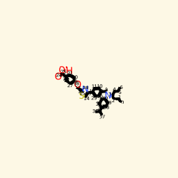 CCCC(CCC)N(Cc1ccc(-c2csc(COc3ccc(C(=O)O)cc3)n2)cc1)c1ccc(C(C)C)cc1